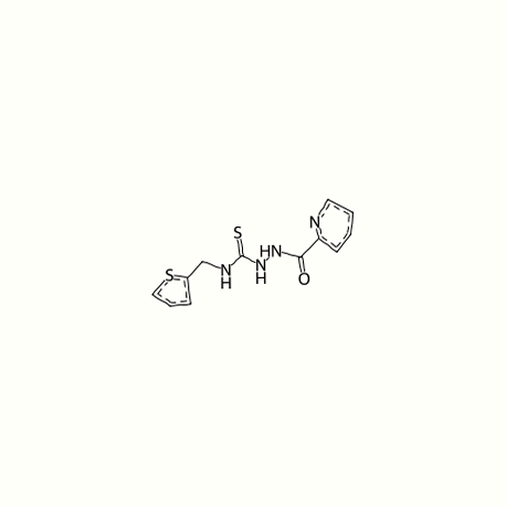 O=C(NNC(=S)NCc1cccs1)c1ccccn1